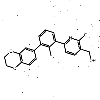 Cc1c(-c2ccc3c(c2)OCCO3)cccc1-c1ccc(CO)c(Cl)n1